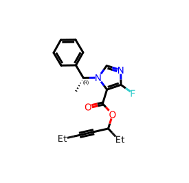 CCC#CC(CC)OC(=O)c1c(F)ncn1[C@H](C)c1ccccc1